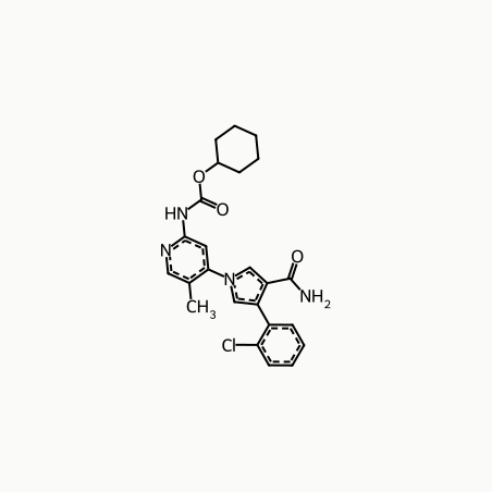 Cc1cnc(NC(=O)OC2CCCCC2)cc1-n1cc(C(N)=O)c(-c2ccccc2Cl)c1